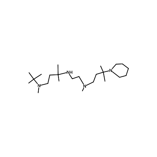 CN(CCNC(C)(C)CCN(C)C(C)(C)C)CCC(C)(C)N1CCCCC1